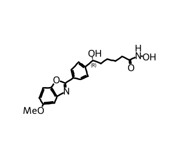 COc1ccc2oc(-c3ccc([C@H](O)CCCCC(=O)NO)cc3)nc2c1